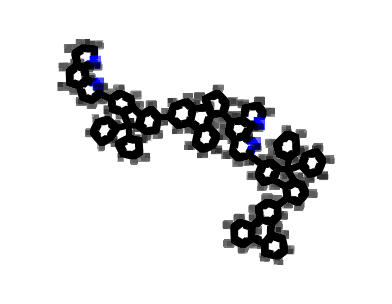 c1ccc(C2(c3ccccc3)c3ccc(-c4ccc5c(c4)c4ccccc4c4c(-c6cc7ccc(-c8ccc9c(c8)C(c8ccccc8)(c8ccccc8)c8cccc(-c%10ccc%11c%12ccccc%12c%12ccccc%12c%11c%10)c8-9)nc7c7ncccc67)cccc54)cc3-c3ccc(-c4ccc5ccc6cccnc6c5n4)cc32)cc1